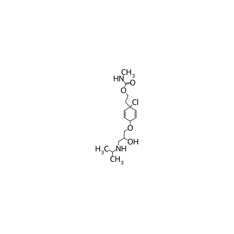 CNC(=O)OCCC1(Cl)C=CC(OCC(O)CNC(C)C)C=C1